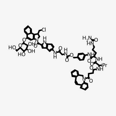 CC(C)C(NC(=O)CCC(=O)N1Cc2ccccc2C#Cc2ccccc21)C(=O)NC(CCCNC(N)=O)C(=O)Nc1ccc(COC(=O)NCC(=O)Nc2ccc3[nH]c(C(=O)N4CC(CCl)c5c4cc(OC4OC(CO)C(O)C(O)C4O)c4ccccc54)cc3c2)cc1